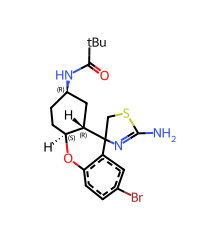 CC(C)(C)C(=O)N[C@@H]1CC[C@@H]2Oc3ccc(Br)cc3C3(CSC(N)=N3)[C@H]2C1